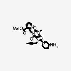 CC#CCn1c(N2CCCC(N)C2)nc2c1c(=O)n(Cc1ncccc1C(=O)OC)c(=O)n2C